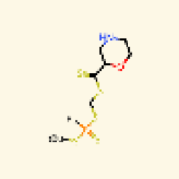 CCP(=S)(SCSC(=S)C1CNCCO1)SC(C)(C)C